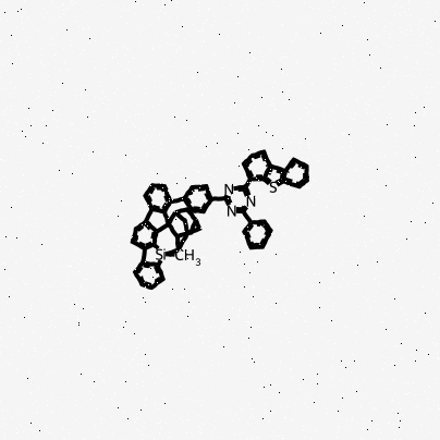 C[Si]12c3ccccc3-c3ccc4c(c31)C1(c3c(-c5ccc(-c6nc(-c7ccccc7)nc(-c7cccc8c7sc7ccccc78)n6)cc5)cccc3-4)C3CC4CC(C3)C2C1C4